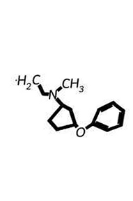 [CH2]CN(C)C1CCC(Oc2ccccc2)C1